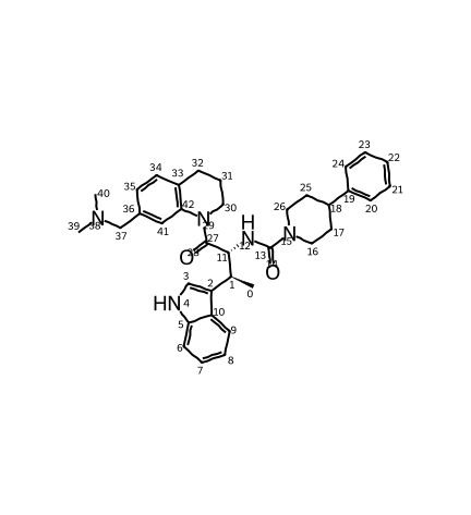 C[C@@H](c1c[nH]c2ccccc12)[C@@H](NC(=O)N1CCC(c2ccccc2)CC1)C(=O)N1CCCc2ccc(CN(C)C)cc21